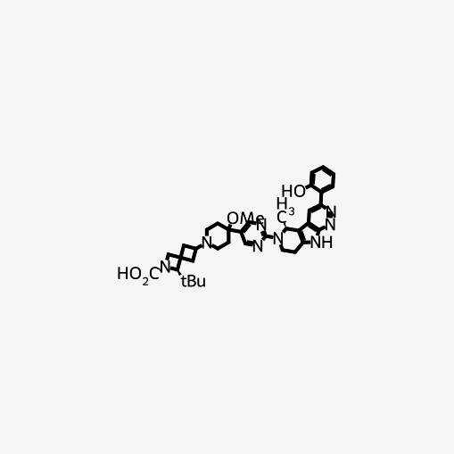 COC1(c2cnc(N3CCc4[nH]c5nnc(-c6ccccc6O)cc5c4[C@H]3C)nc2)CCN(C2CC3(C2)CN(C(=O)O)[C@@H]3C(C)(C)C)CC1